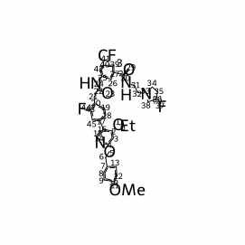 CCOc1cc(OCc2ccc(OC)cc2)ncc1-c1ccc(CC(=O)Nc2cc(C(=O)NCCN3CC[C@H](F)C3)cc(C(F)(F)F)c2)c(F)c1